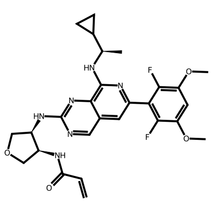 C=CC(=O)N[C@H]1COC[C@H]1Nc1ncc2cc(-c3c(F)c(OC)cc(OC)c3F)nc(N[C@H](C)C3CC3)c2n1